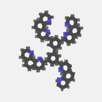 c1cnc2c(c1)ccc1ccc(-c3cc(-c4cc(-c5ccc6ccc7cccnc7c6n5)cc(-c5ccc6ccc7cccnc7c6n5)c4)cc(-c4ccc5ccc6cccnc6c5n4)c3)nc12